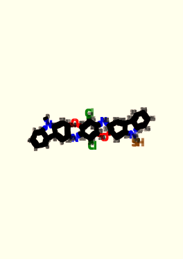 Cn1c2ccccc2c2cc3c(cc21)Oc1c(Cl)c2c(c(Cl)c1=N3)Oc1cc3c(cc1N=2)c1ccccc1n3S